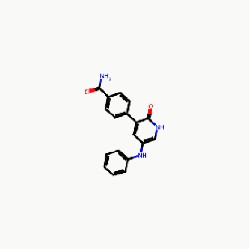 NC(=O)c1ccc(-c2cc(Nc3ccccc3)c[nH]c2=O)cc1